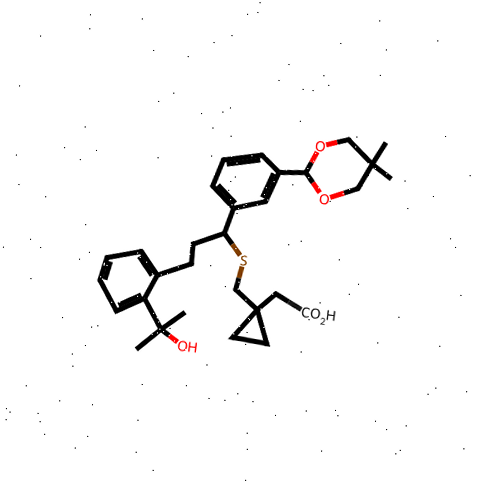 CC1(C)COC(c2cccc(C(CCc3ccccc3C(C)(C)O)SCC3(CC(=O)O)CC3)c2)OC1